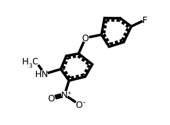 CNc1cc(Oc2ccc(F)cc2)ccc1[N+](=O)[O-]